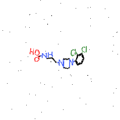 O=C(O)NCCCN1CCN(c2cccc(Cl)c2Cl)CC1